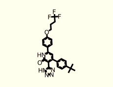 CC(C)(C)c1ccc(-c2cc(-c3ccc(OCCCC(F)(F)F)cc3)[nH]c(=O)c2-c2nnn[nH]2)cc1